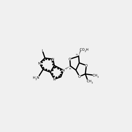 CC1(C)OC2C(O1)[C@H](n1cnc3c(N)nc(I)nc31)O[C@@H]2C(=O)O